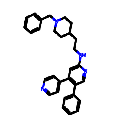 c1ccc(CN2CCC(CCNc3cc(-c4ccncc4)c(-c4ccccc4)cn3)CC2)cc1